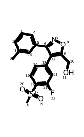 Cc1cccc(-c2noc(CO)c2-c2ccc(S(C)(=O)=O)c(F)c2)c1